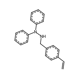 C=Cc1ccc(CNN(c2ccccc2)c2ccccc2)cc1